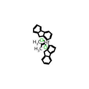 C[C](C)=[Hf]([Cl])([Cl])([c]1cccc2c1Cc1ccccc1-2)[c]1cccc2c1Cc1ccccc1-2